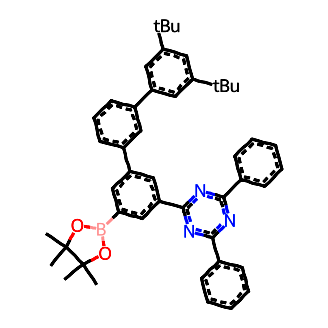 CC(C)(C)c1cc(-c2cccc(-c3cc(B4OC(C)(C)C(C)(C)O4)cc(-c4nc(-c5ccccc5)nc(-c5ccccc5)n4)c3)c2)cc(C(C)(C)C)c1